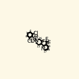 O=S(=O)(c1c(Cl)cccc1Cl)N1CCC(c2ncccc2C(F)(F)F)CC1